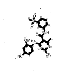 COc1cc(C#N)ccc1Oc1nc(C(F)(F)F)nc(C)c1C(=O)Nc1cccc(S(C)(=O)=O)c1